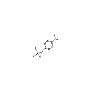 CN(C)c1ccc(C2CC2(F)F)cc1